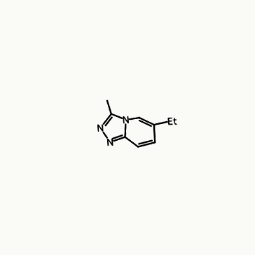 CCc1ccc2nnc(C)n2c1